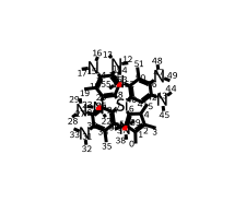 CC1=C(C)C(C)C([Si](c2cc(N(C)C)c(N(C)C)c(C)c2N(C)C)(c2cc(N(C)C)c(N(C)C)c(C)c2N(C)C)c2cc(N(C)C)c(N(C)C)c(C)c2N(C)C)=C1C